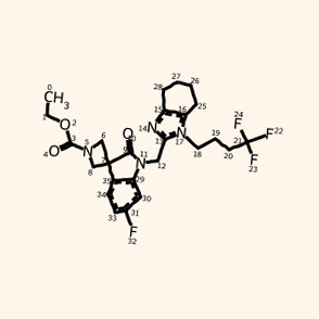 CCOC(=O)N1CC2(C1)C(=O)N(Cc1nc3c(n1CCCC(F)(F)F)CCCC3)c1cc(F)ccc12